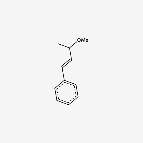 COC(C)C=Cc1ccccc1